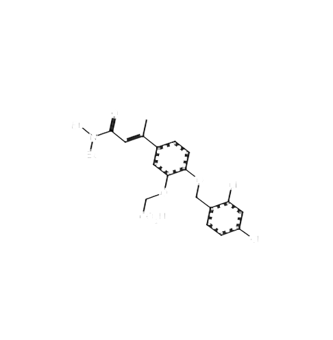 CCN(CC)C(=O)C=C(C)c1ccc(OCc2ccc(Cl)cc2Cl)c(OCC(=O)O)c1